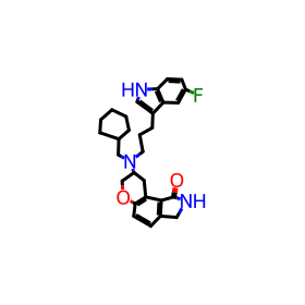 O=C1NCc2ccc3c(c21)CC(N(CCCc1c[nH]c2ccc(F)cc12)CC1CCCCC1)CO3